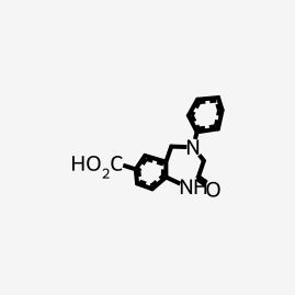 O=C1CN(c2ccccc2)Cc2cc(C(=O)O)ccc2N1